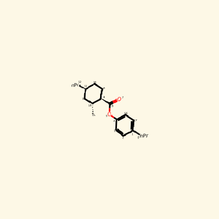 CCCc1ccc(OC(=O)[C@@H]2CC[C@H](CCC)C[C@H]2C)cc1